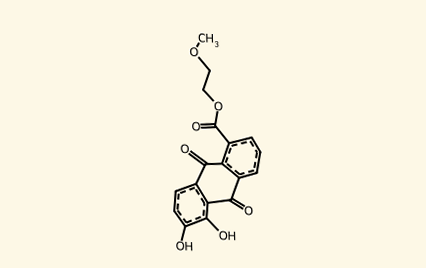 COCCOC(=O)c1cccc2c1C(=O)c1ccc(O)c(O)c1C2=O